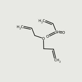 C=CCOCC=C.C=C[SH](=O)=O